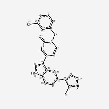 C/C=C(\C=C/N(C=O)Cc1cccc(Cl)c1)c1c[nH]c2ncc(-c3cn[nH]c3C)nc12